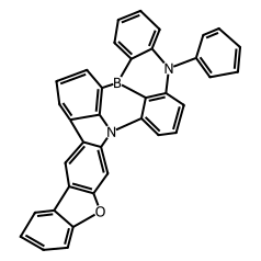 c1ccc(N2c3ccccc3B3c4c2cccc4-n2c4cc5oc6ccccc6c5cc4c4cccc3c42)cc1